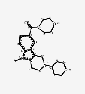 Cn1c2c(c3cc(C(=O)N4CCOCC4)ccc31)CN(C1CCOCC1)CC2